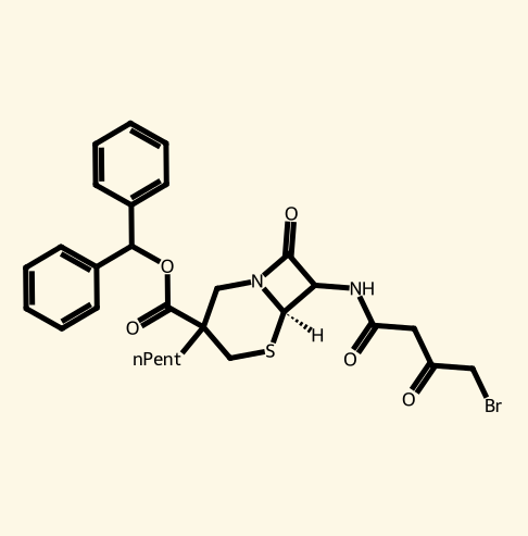 CCCCCC1(C(=O)OC(c2ccccc2)c2ccccc2)CS[C@@H]2C(NC(=O)CC(=O)CBr)C(=O)N2C1